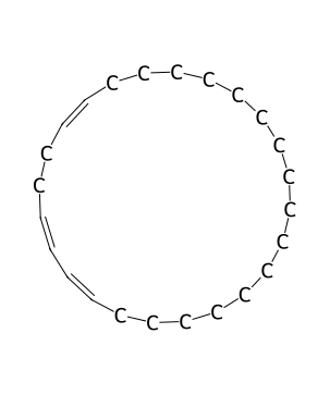 C1=CCCC=CCCCCCCCCCCCCCCCCC=C1